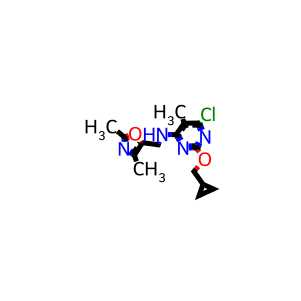 Cc1nc(C)c(CNc2nc(OCC3CC3)nc(Cl)c2C)o1